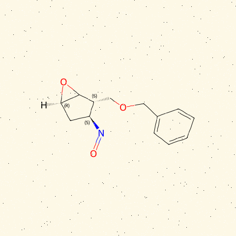 O=N[C@H]1C[C@H]2OC2[C@@H]1COCc1ccccc1